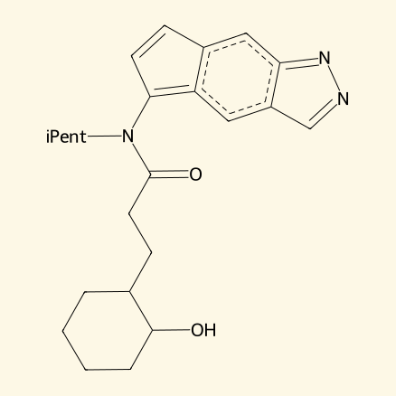 CCCC(C)N(C(=O)CCC1CCCCC1O)C1=c2cc3c(cc2C=C1)=NN=C3